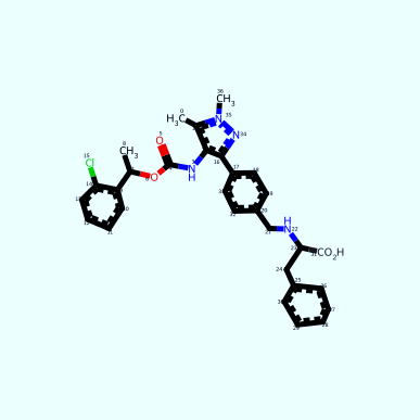 Cc1c(NC(=O)OC(C)c2ccccc2Cl)c(-c2ccc(CNC(Cc3ccccc3)C(=O)O)cc2)nn1C